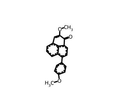 COC1=Cc2cccc3c(-c4ccc(OC)cc4)ccc(c23)C1=O